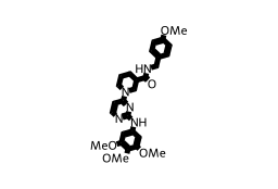 COc1ccc(CNC(=O)C2CCCN(c3ccnc(Nc4cc(OC)c(OC)c(OC)c4)n3)C2)cc1